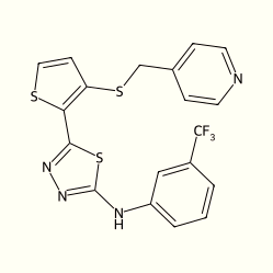 FC(F)(F)c1cccc(Nc2nnc(-c3sccc3SCc3ccncc3)s2)c1